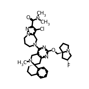 CN(C)C(=O)c1nn2c(c1Cl)CN(c1nc(OC[C@@]34CCCN3C[C@H](F)C4)nc3c1CN(C)[C@@]1(CCCc4ccccc41)C3)CCC2